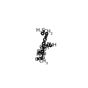 C=C(C)c1ccccc1[C@@H]1CCCN1C1CC2(CCN(c3ccc(C(=O)NS(=O)(=O)c4cc5c(c([N+](=O)[O-])c4)N[C@@H]([C@H]4CN(C6COC6)[C@H](C)CO4)CO5)c(Oc4cnc5[nH]ccc5c4)c3)CC2)C1